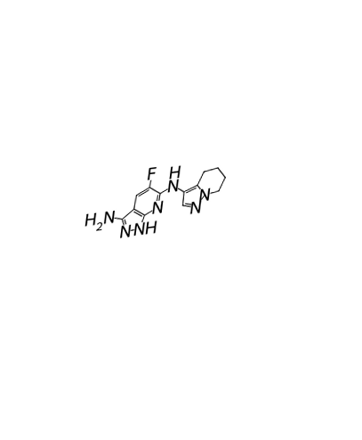 Nc1n[nH]c2nc(Nc3cnn4c3CCCC4)c(F)cc12